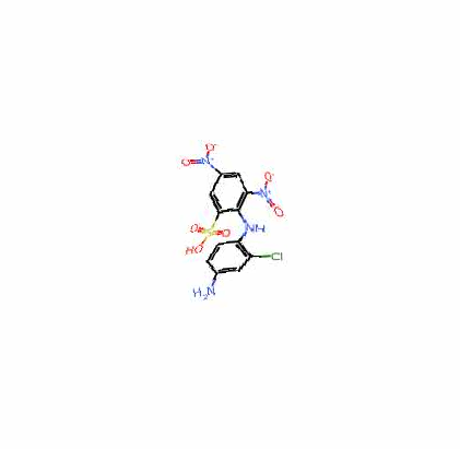 Nc1ccc(Nc2c([N+](=O)[O-])cc([N+](=O)[O-])cc2S(=O)(=O)O)c(Cl)c1